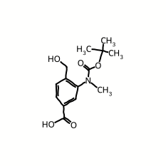 CN(C(=O)OC(C)(C)C)c1cc(C(=O)O)ccc1CO